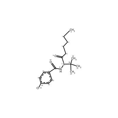 CCCCCC(=O)N(NC(=O)c1ccc(Cl)cc1)C(C)(C)C